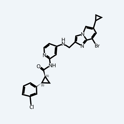 O=C(Nc1cc(NCc2cn3cc(C4CC4)cc(Br)c3n2)ccn1)[C@H]1C[C@@H]1c1cccc(Cl)c1